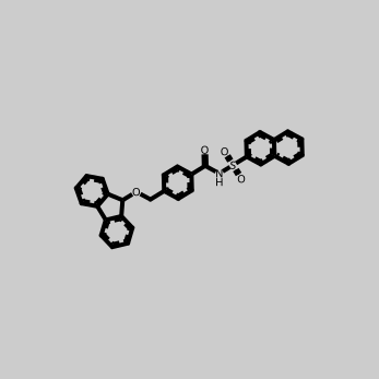 O=C(NS(=O)(=O)c1ccc2ccccc2c1)c1ccc(COC2c3ccccc3-c3ccccc32)cc1